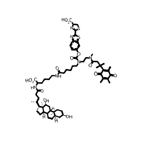 CC1=C(C)C(=O)C(C(C)(C)CC(=O)N(C)CCN(CCCCCC(=O)NCCCCC(NC(=O)CC[C@@H](C)[C@H]2CC[C@H]3C4CC[C@@H]5C[C@H](O)CC[C@]5(C)[C@H]4C[C@H](O)[C@]23C)C(=O)O)C(=O)Oc2ccc3nc(C4=NC(C(=O)O)CS4)sc3c2)=C(C)C1=O